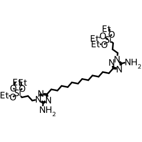 CCO[Si](CCCn1nc(CCCCCCCCCCCCc2nc(N)n(CCC[Si](OCC)(OCC)OCC)n2)nc1N)(OCC)OCC